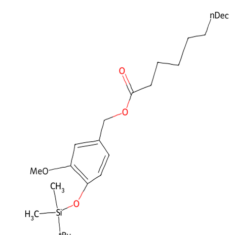 CCCCCCCCCCCCCCCC(=O)OCc1ccc(O[Si](C)(C)C(C)(C)C)c(OC)c1